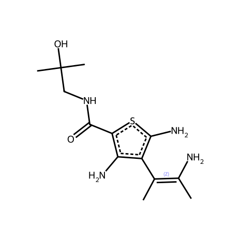 C/C(N)=C(\C)c1c(N)sc(C(=O)NCC(C)(C)O)c1N